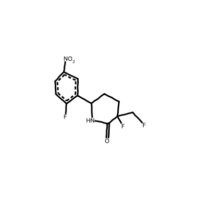 O=C1NC(c2cc([N+](=O)[O-])ccc2F)CCC1(F)CF